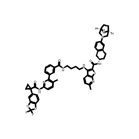 Cc1ccc2c(NCCCCNC(=O)c3cccc(-c4nc(NC(=O)C5(c6ccc7c(c6)OC(F)(F)O7)CC5)ccc4C)c3)c(C(=O)N[C@H]3CCc4cc(N5C[C@H]6CC[C@@H](C5)N6)ccc4C3)sc2n1